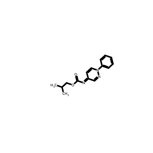 CC(C)COC(=O)/N=c1\ccn(-c2ccccc2)nc1